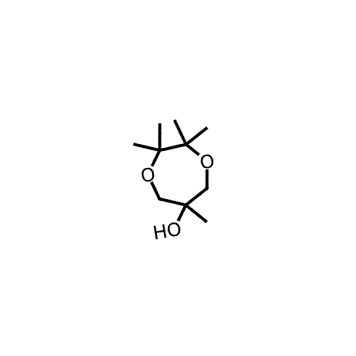 CC1(O)COC(C)(C)C(C)(C)OC1